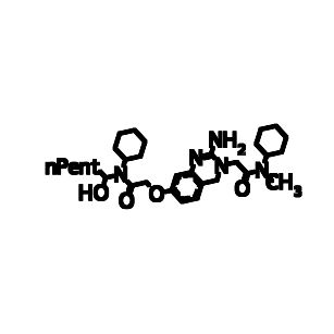 CCCCCC(O)N(C(=O)COc1ccc2c(c1)N=C(N)N(CC(=O)N(C)C1CCCCC1)C2)C1CCCCC1